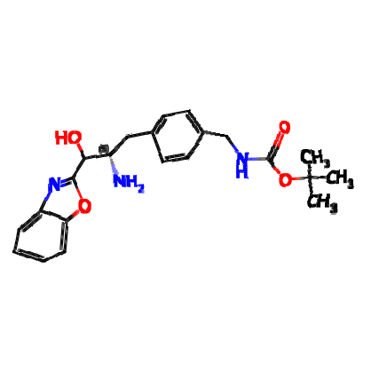 CC(C)(C)OC(=O)NCc1ccc(C[C@H](N)C(O)c2nc3ccccc3o2)cc1